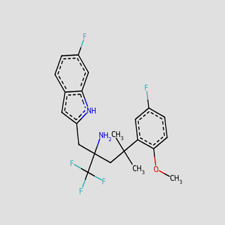 COc1ccc(F)cc1C(C)(C)CC(N)(Cc1cc2ccc(F)cc2[nH]1)C(F)(F)F